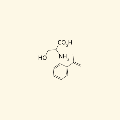 C=C(C)c1ccccc1.NC(CO)C(=O)O